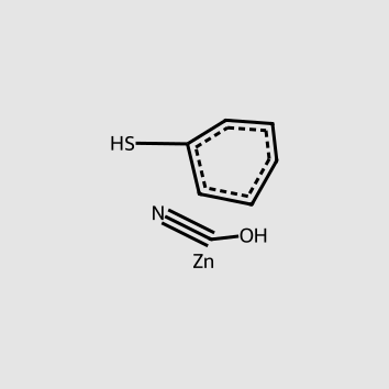 N#CO.Sc1ccccc1.[Zn]